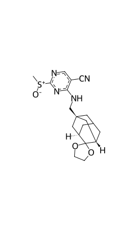 C[S+]([O-])c1ncc(C#N)c(NC[C@]23CC4C[C@H](C2)C2(OCCO2)[C@@H](C4)C3)n1